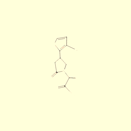 CCC(C(N)=O)N1CC(c2sccc2Br)CC1=O